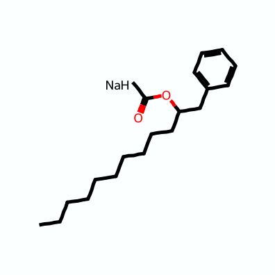 CCCCCCCCCCC(Cc1ccccc1)OC(C)=O.[NaH]